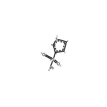 CC(C)S(=O)(=O)c1ccsc1